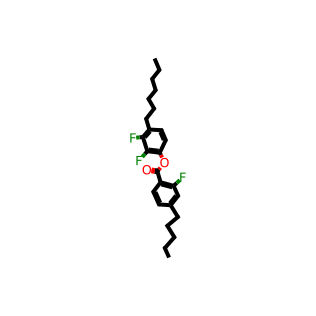 CCCCCCCc1ccc(OC(=O)c2ccc(CCCCC)cc2F)c(F)c1F